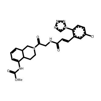 COC(=O)NC1=CC=CC2CN(C(=O)CNC(=O)/C=C/c3cc(Cl)ccc3-n3cnnn3)CCC12